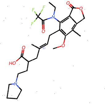 CCN(C(=O)C(F)(F)F)c1c(C/C=C(\C)CC(CCN2CCCC2)C(=O)O)c(OC)c(C)c2c1C(=O)OC2